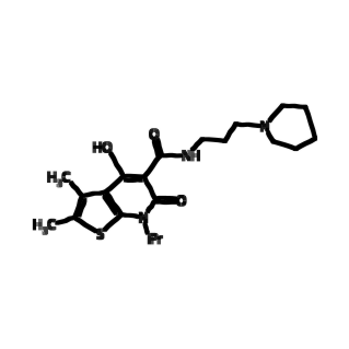 Cc1sc2c(c1C)c(O)c(C(=O)NCCCN1CCCCC1)c(=O)n2C(C)C